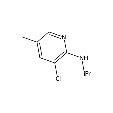 Cc1cnc(NC(C)C)c(Cl)c1